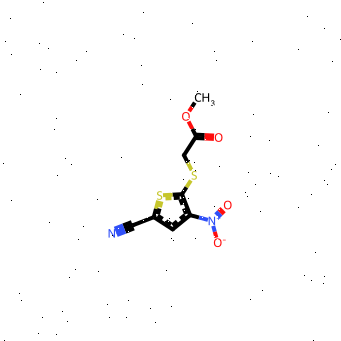 COC(=O)CSc1sc(C#N)cc1[N+](=O)[O-]